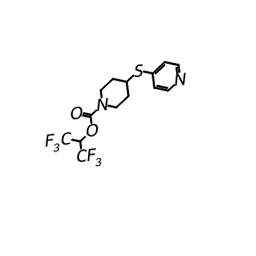 O=C(OC(C(F)(F)F)C(F)(F)F)N1CCC(Sc2ccncc2)CC1